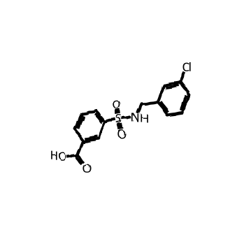 O=C(O)c1cccc(S(=O)(=O)NCc2cccc(Cl)c2)c1